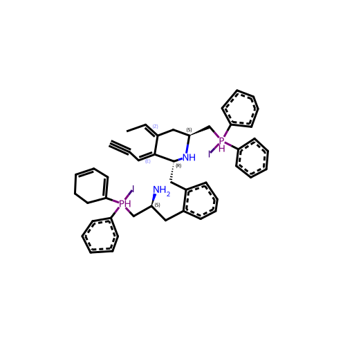 C#C/C=C1\C(=C/C)C[C@@H](C[PH](I)(c2ccccc2)c2ccccc2)N[C@@H]1Cc1ccccc1C[C@H](N)C[PH](I)(C1=CC=CCC1)c1ccccc1